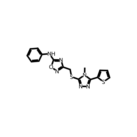 Cn1c(SCc2noc(Nc3ccccc3)n2)nnc1-c1cccs1